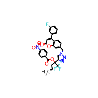 C=CCC(OC(=O)c1ccc([N+](=O)[O-])cc1)(c1cn(Cc2ccc3c(-c4cccc(F)c4)cc(=O)oc3c2)nn1)C(F)(F)F